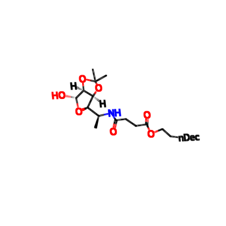 CCCCCCCCCCCCOC(=O)CCC(=O)N[C@@H](C)[C@H]1O[C@H](O)[C@H]2OC(C)(C)O[C@@H]12